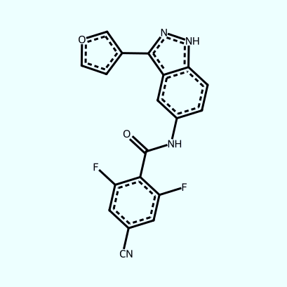 N#Cc1cc(F)c(C(=O)Nc2ccc3[nH]nc(-c4ccoc4)c3c2)c(F)c1